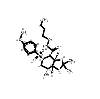 CCCCONC(=O)[C@H]1[C@@H]2OC(C)(C)O[C@@H]2[C@H](O)CN1S(=O)(=O)c1ccc(OC)cc1